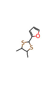 CC1SC(c2ccco2)SC1C